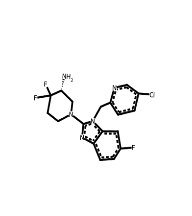 N[C@@H]1CN(c2nc3ccc(F)cc3n2Cc2ccc(Cl)cn2)CCC1(F)F